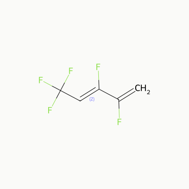 C=C(F)/C(F)=C/C(F)(F)F